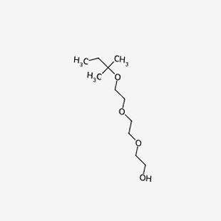 CCC(C)(C)OCCOCCOCCO